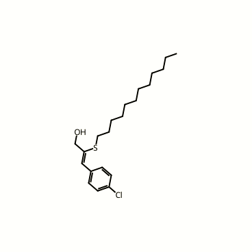 CCCCCCCCCCCCSC(=Cc1ccc(Cl)cc1)CO